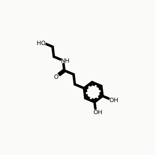 O=C(CCc1ccc(O)c(O)c1)NCCO